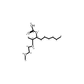 CCCCCCC(OC(=O)O)C(C)OCCOC